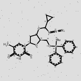 Cc1cn([C@H]2CC(OC(N=[N+]=[N-])C3CC3)[C@@H](CO[Si](c3ccccc3)(c3ccccc3)C(C)(C)C)O2)c(=O)[nH]c1=O